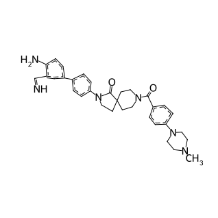 CN1CCN(c2ccc(C(=O)N3CCC4(CC3)CCN(c3ccc(-c5ccc(N)c(C=N)c5)cc3)C4=O)cc2)CC1